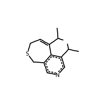 CC(C)C1=CCSCc2cncc(C(C)C)c21